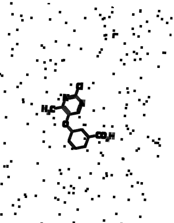 Cc1nc(Cl)ncc1OC1CCCC(C(=O)O)C1